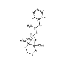 CCCC1(OC)CCCC[Si]1(OC)OC.NCC(N)Cc1ccccc1